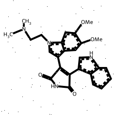 COc1cc2c(C3=C(c4c[nH]c5ccccc45)C(=O)NC3=O)cn(CCN(C)C)c2cc1OC